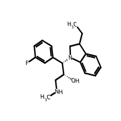 CCC1CN([C@@H](c2cccc(F)c2)[C@H](O)CNC)c2ccccc21